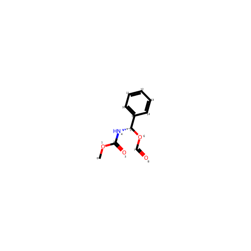 COC(=O)N[C@@H](OC=O)c1ccccc1